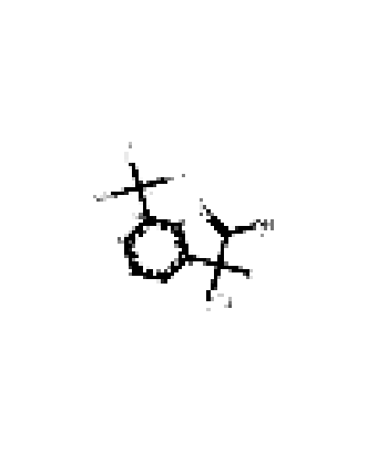 CC(N)(C(=O)O)c1cccc(C(F)(F)F)c1